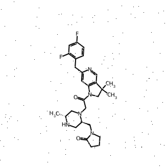 C[C@@H]1CN(CC(=O)N2CC(C)(C)c3cnc(Cc4ccc(F)cc4F)cc32)[C@@H](CN2CCCC2=O)CN1